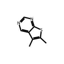 Cc1sc2ncncc2c1C